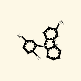 CC(=O)c1ccc(C)cc1-n1c2ccccc2c2cc([N+](=O)[O-])ccc21